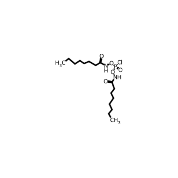 CCCCCCCC(=O)NOP(=O)(Cl)ONC(=O)CCCCCCC